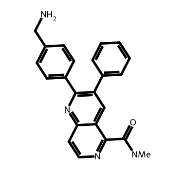 CNC(=O)c1nccc2nc(-c3ccc(CN)cc3)c(-c3ccccc3)cc12